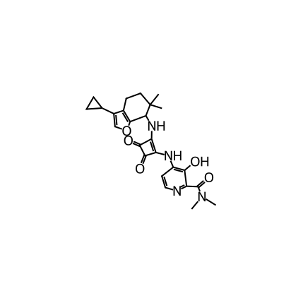 CN(C)C(=O)c1nccc(Nc2c(NC3c4occ(C5CC5)c4CCC3(C)C)c(=O)c2=O)c1O